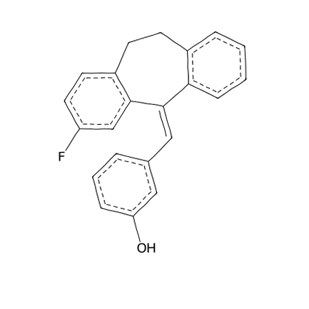 Oc1cccc(C=C2c3ccccc3CCc3ccc(F)cc32)c1